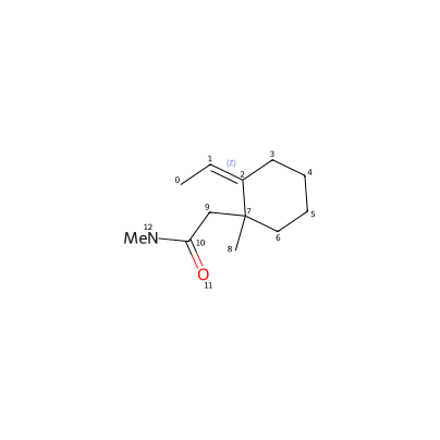 C/C=C1/CCCCC1(C)CC(=O)NC